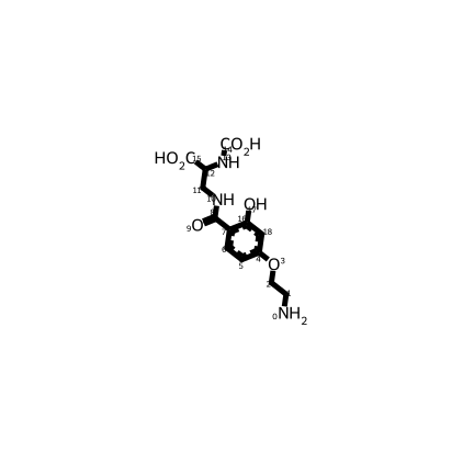 NCCOc1ccc(C(=O)NCC(NC(=O)O)C(=O)O)c(O)c1